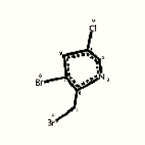 Clc1cnc(CBr)c(Br)c1